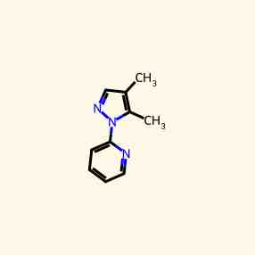 Cc1cnn(-c2ccccn2)c1C